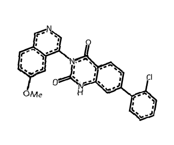 COc1ccc2cncc(-n3c(=O)[nH]c4cc(-c5ccccc5Cl)ccc4c3=O)c2c1